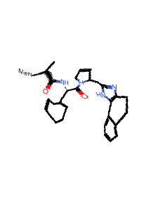 CNC(C)C(=O)N[C@H](C(=O)N1CCCC1c1nc2c([nH]1)-c1ccccc1CC2)C1CCCCC1